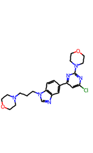 Clc1cc(-c2ccc3c(c2)ncn3CCCN2CCOCC2)nc(N2CCOCC2)n1